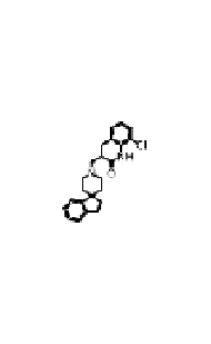 O=C1Nc2c(Cl)cccc2CC1CN1CCC2(CCc3ccccc32)CC1